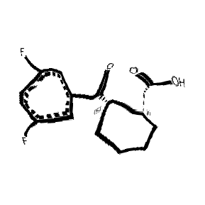 O=C(c1cc(F)cc(F)c1)[C@H]1CCCC[C@H]1C(=O)O